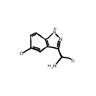 C[CH]C(N)c1n[nH]c2ccc(Cl)cc12